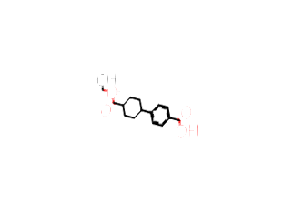 CCOC(=O)C1CCC(c2ccc(C(=O)O)cc2)CC1